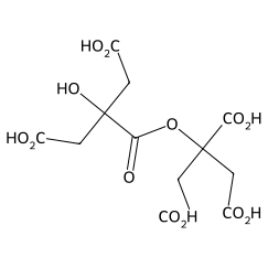 O=C(O)CC(O)(CC(=O)O)C(=O)OC(CC(=O)O)(CC(=O)O)C(=O)O